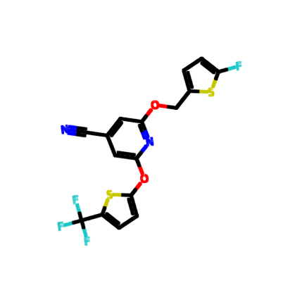 N#Cc1cc(OCc2ccc(F)s2)nc(Oc2ccc(C(F)(F)F)s2)c1